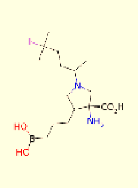 CC(CCC(C)(C)I)N1CC(CCCB(O)O)[C@](N)(C(=O)O)C1